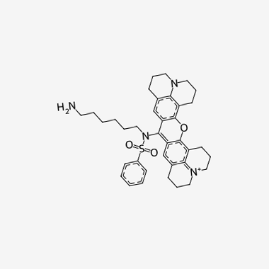 NCCCCCCN(C1=c2cc3c4c(c2Oc2c1cc1c5c2CCCN5CCC1)CCC[N+]=4CCC3)S(=O)(=O)c1ccccc1